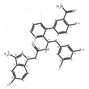 NC(=O)c1cc(-c2cccnc2C(Cc2cc(F)cc(F)c2)NC(=O)Cn2nc(C(F)(F)F)c3cc(F)ccc32)ccc1F